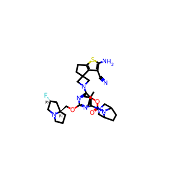 CC(C)(C)OC(=O)N1C2CCC1CN(c1cc(N3CC4(CCc5sc(N)c(C#N)c54)C3)nc(OC[C@@]34CCCN3C[C@H](F)C4)n1)C2